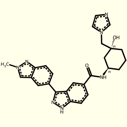 Cn1cc2cc(-c3n[nH]c4ccc(C(=O)N[C@@H]5CCC[C@](O)(Cn6ccnc6)C5)cc34)ccc2n1